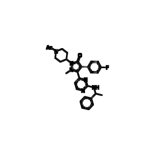 CC(=O)N1CCC(n2c(=O)c(-c3ccc(F)cc3)c(-c3ccnc(NC(C)c4ccccc4)n3)n2C)CC1